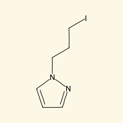 ICCCn1cccn1